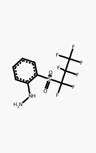 NNc1ccccc1S(=O)(=O)C(F)(F)C(F)(F)C(F)(F)F